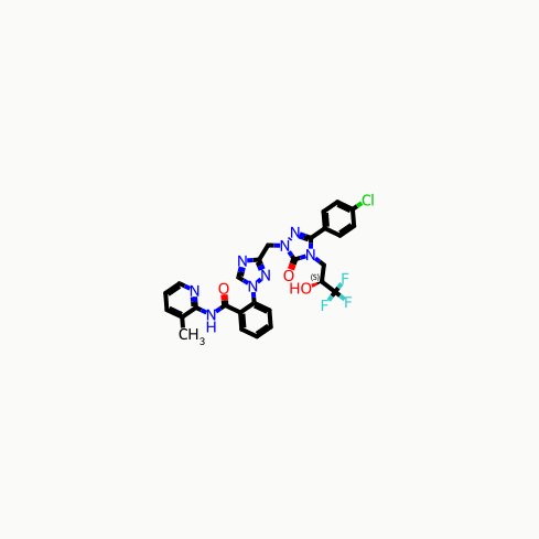 Cc1cccnc1NC(=O)c1ccccc1-n1cnc(Cn2nc(-c3ccc(Cl)cc3)n(C[C@H](O)C(F)(F)F)c2=O)n1